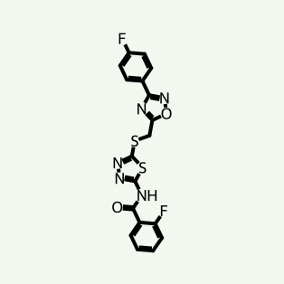 O=C(Nc1nnc(SCc2nc(-c3ccc(F)cc3)no2)s1)c1ccccc1F